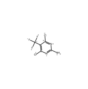 Nc1nc(Cl)c(C(F)(F)F)c(Cl)n1